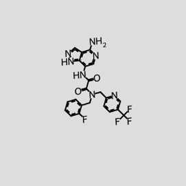 Nc1ncc(NC(=O)C(=O)N(Cc2ccc(C(F)(F)F)cn2)Cc2ccccc2F)c2[nH]ncc12